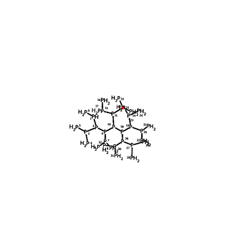 PPP(P(P)P)P(P(P)P)P(P(P(P)P)P(P)P)P(P(P(P)P)P(P)P)P(P(P)P)P(P)P